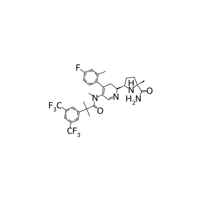 Cc1cc(F)ccc1C1=C(N(C)C(=O)C(C)(C)c2cc(C(F)(F)F)cc(C(F)(F)F)c2)C=NC([C@H]2CC[C@](C)(C(N)=O)N2)C1